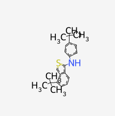 CC(C)(C)c1ccc(Nc2scc3c(C(C)(C)C)cccc23)cc1